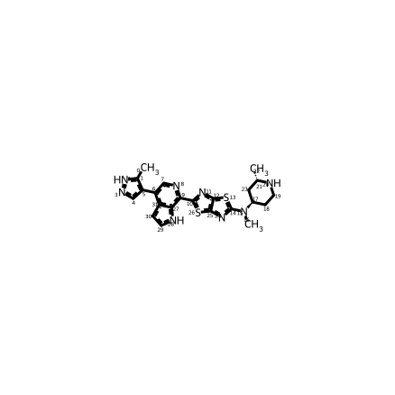 Cc1[nH]ncc1-c1cnc(-c2nc3sc(N(C)[C@@H]4CCN[C@@H](C)C4)nc3s2)c2[nH]ccc12